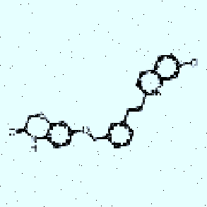 O=C1CSc2cc(OCc3cccc(/C=C/c4ccc5ccc(Cl)cc5n4)c3)ccc2N1